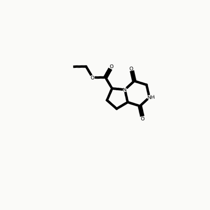 CCOC(=O)C1CCC2C(=O)NCC(=O)N21